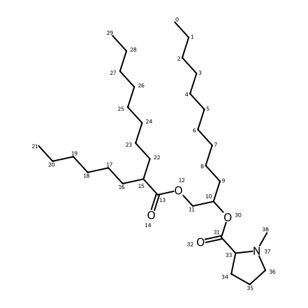 CCCCCCCCCCC(COC(=O)C(CCCCCC)CCCCCCCC)OC(=O)C1CCCN1C